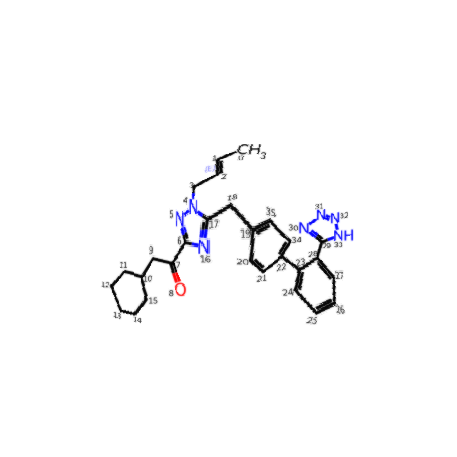 C/C=C/Cn1nc(C(=O)CC2CCCCC2)nc1Cc1ccc(-c2ccccc2-c2nnn[nH]2)cc1